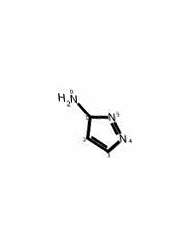 N[C]1C=CN=N1